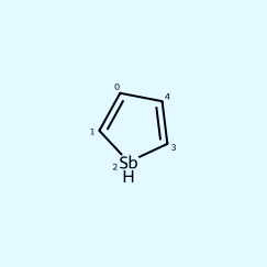 C1=[CH][SbH][CH]=C1